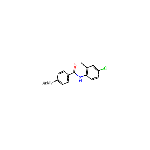 CC(=O)Nc1ccc(C(=O)Nc2ccc(Cl)cc2C)cc1